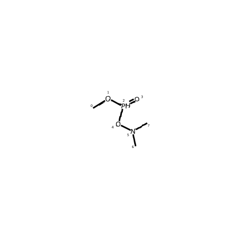 CO[PH](=O)ON(C)C